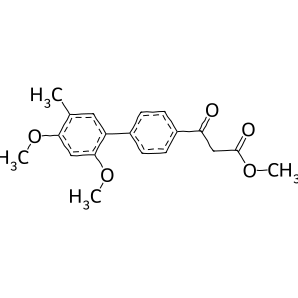 COC(=O)CC(=O)c1ccc(-c2cc(C)c(OC)cc2OC)cc1